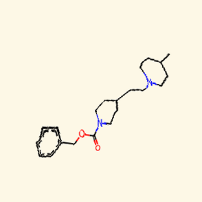 CC1CCN(CCC2CCN(C(=O)OCc3ccccc3)CC2)CC1